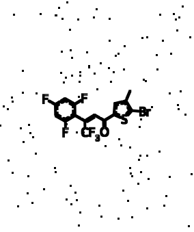 Cc1cc(C(=O)C=C(c2c(F)cc(F)cc2F)C(F)(F)F)sc1Br